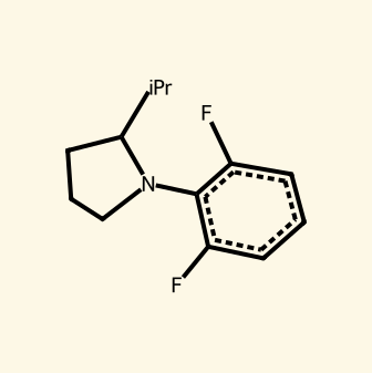 CC(C)C1CCCN1c1c(F)cccc1F